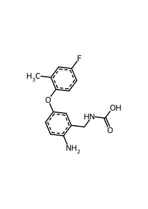 Cc1cc(F)ccc1Oc1ccc(N)c(CNC(=O)O)c1